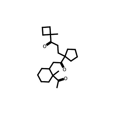 CC(=O)C1(C)CCCCC1CC(=O)C1(CCC(=O)C2(C)CCC2)CCCC1